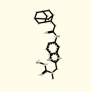 CN(Cc1nc2cc(NC(=O)CC3C4CC5CC(C4)CC3C5)ccc2[nH]1)C(=O)OC(C)(C)C